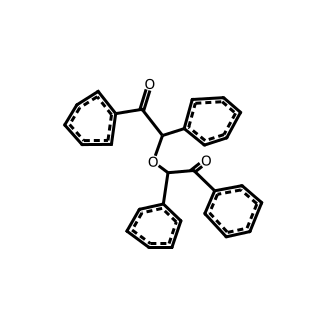 O=C(c1ccccc1)C(OC(C(=O)c1ccccc1)c1ccccc1)c1ccccc1